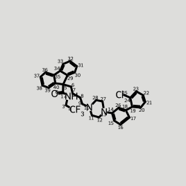 O=C(NCC(F)(F)F)C1(CCCCN2CCN(c3cccc(-c4ccccc4Cl)c3)CC2)c2ccccc2-c2ccccc21